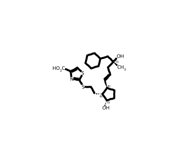 C[C@@](O)(CC=C[C@H]1CC[C@H](O)[C@@H]1CCSc1nc(C(=O)O)cs1)CC1CCCCC1